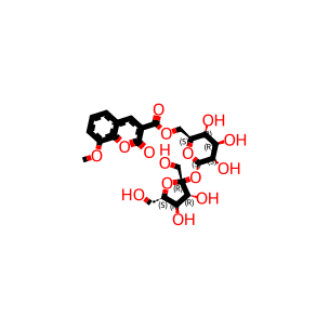 COc1cccc2cc(C(=O)OC[C@@H]3O[C@@H](O[C@@]4(CO)O[C@@H](CO)[C@H](O)[C@H]4O)[C@@H](O)[C@H](O)[C@H]3O)c(=O)oc12